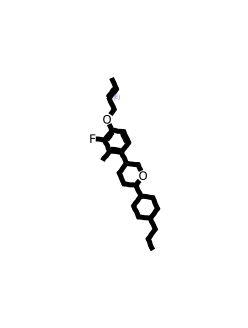 C/C=C/COc1ccc(C2CCC(C3CCC(CCC)CC3)OC2)c(C)c1F